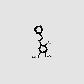 COc1cc(OCc2ccccc2)c(C(C)=O)cc1OC